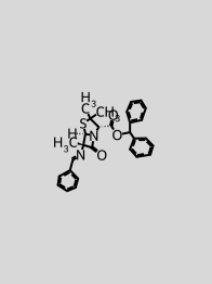 CC1(C)S[C@H]2N(C(=O)[C@]2(C)N=Cc2ccccc2)[C@H]1C(=O)OC(c1ccccc1)c1ccccc1